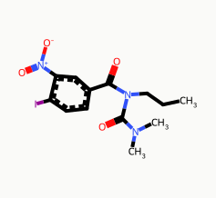 CCCN(C(=O)c1ccc(I)c([N+](=O)[O-])c1)C(=O)N(C)C